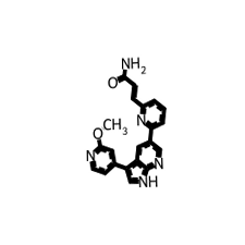 COc1cc(-c2c[nH]c3ncc(-c4cccc(/C=C/C(N)=O)n4)cc23)ccn1